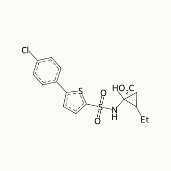 CCC1CC1(NS(=O)(=O)c1ccc(-c2ccc(Cl)cc2)s1)C(=O)O